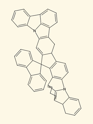 C1=CCC2C(=C1)n1c3c(c4c5c(ccc41)C1Cc4c(n6c7ccccc7c7cccc4c76)C=C1C51c4ccccc4-c4ccccc41)=CCCC=32